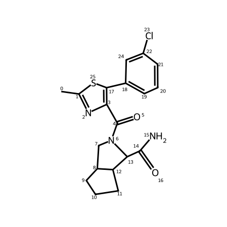 Cc1nc(C(=O)N2CC3CCCC3C2C(N)=O)c(-c2cccc(Cl)c2)s1